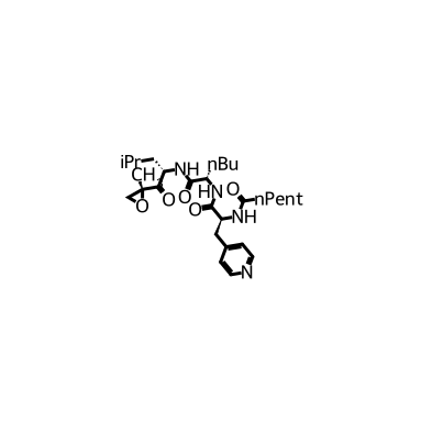 CCCCCC(=O)N[C@@H](Cc1ccncc1)C(=O)N[C@@H](CCCC)C(=O)N[C@@H](CC(C)C)C(=O)[C@@]1(C)CO1